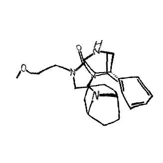 COCCN1CC2(CC3CCC(C2)N3C[C@H]2CNC[C@@H]2c2ccccc2)N(C(C)C)C1=O